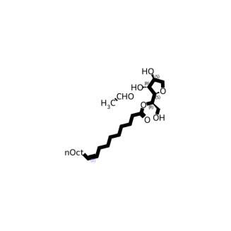 CC=O.CCCCCCCC/C=C\CCCCCCCC(=O)O[C@H](CO)[C@H]1OC[C@H](O)[C@H]1O